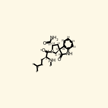 CN[C@@H](CCC(C)C)C(=O)N1C[C@]2(C[C@H]1C(N)=O)C(=O)Nc1ccccc12